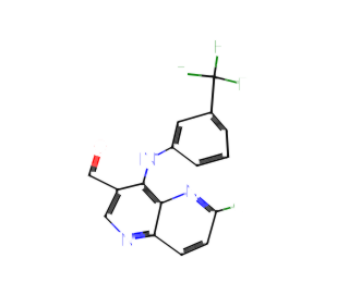 O=Cc1cnc2ccc(Cl)nc2c1Nc1cccc(C(F)(F)F)c1